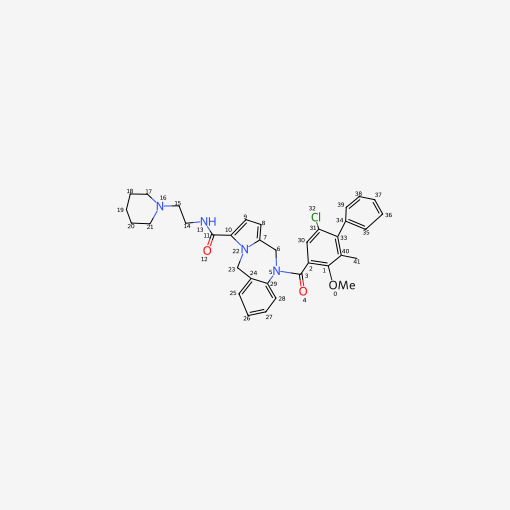 COc1c(C(=O)N2Cc3ccc(C(=O)NCCN4CCCCC4)n3Cc3ccccc32)cc(Cl)c(-c2ccccc2)c1C